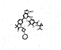 CC(C)n1cnc2cc(-c3ccc4c(c3)N([C@]3(C)C[C@H](N5CCCCC5)C3)C(=O)C4(C)C)nc(Nc3cc(C(=O)NC4(C(F)F)CC4)c(Cl)c(F)c3F)c21